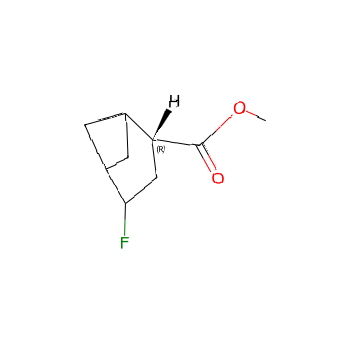 COC(=O)[C@@H]1CC(F)C2CC1C2